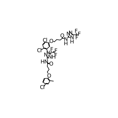 Cc1cc(Cl)ccc1OCCCC(=O)Nc1n[n+](-c2cc(OCCCC(=O)Nc3nnc(C(F)(F)F)[nH]3)c(Cl)cc2Cl)c(C(F)(F)F)[nH]1